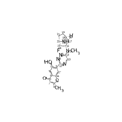 Cc1cc(=O)c2cc(O)c(-c3ncc(N(C)[C@H]4C[C@@H]5CCC(N5)[C@H]4F)nn3)cc2o1